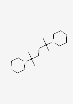 CC(C)(CCC(C)(C)N1CCNCC1)N1CCCCC1